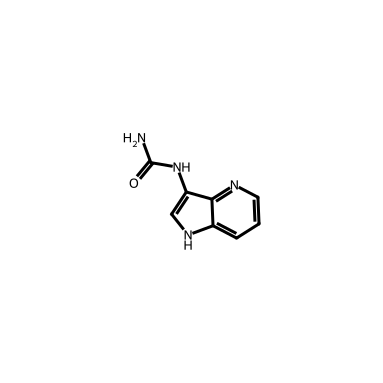 NC(=O)Nc1c[nH]c2cccnc12